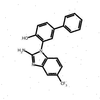 Nc1nc2cc(C(F)(F)F)ccc2n1-c1cc(-c2ccccc2)ccc1O